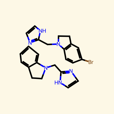 Brc1ccc2c(c1)CCN2Cc1ncc[nH]1.c1ccc2c(c1)CCN2Cc1ncc[nH]1